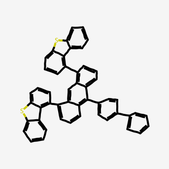 c1ccc(-c2ccc(-c3c4cccc(-c5cccc6sc7ccccc7c56)c4cc4c(-c5cccc6sc7ccccc7c56)cccc34)cc2)cc1